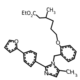 CCOC(=O)CC(C)CCCOc1ccccc1Cn1c(C)cnc1-c1ccc(-c2ccco2)cc1